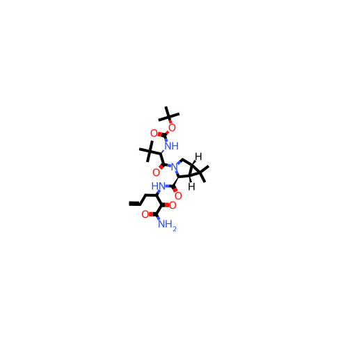 C=CCC(NC(=O)[C@@H]1[C@@H]2[C@H](CN1C(=O)[C@@H](NC(=O)OC(C)(C)C)C(C)(C)C)C2(C)C)C(=O)C(N)=O